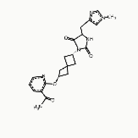 Cn1cnc(CC2NC(=O)N([C@H]3CC4(C[C@H](Oc5ncccc5C(N)=O)C4)C3)C2=O)c1